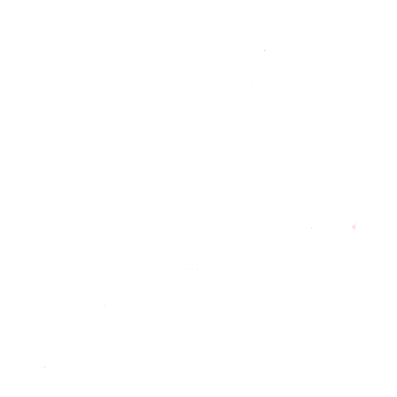 COc1c(O[Si](C)(C)C(C)(C)C)ccc(C(=O)O)c1CCOCCOCCCl